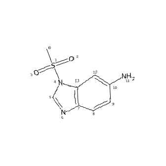 CS(=O)(=O)n1cnc2ccc(N)cc21